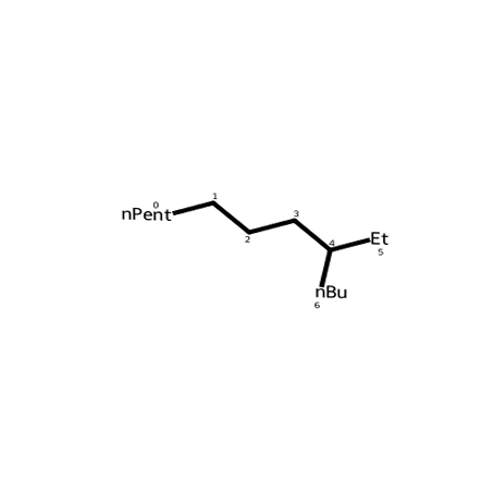 [CH2]CCCCCCCC(CC)CCC[CH2]